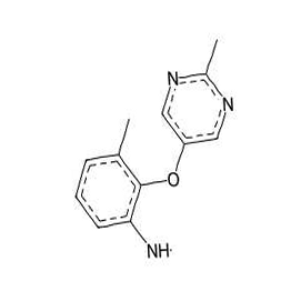 Cc1ncc(Oc2c(C)cccc2[NH])cn1